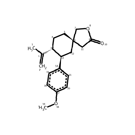 C=C(C)[C@@H]1CC[C@]2(COC(=O)C2)C[C@H]1c1ccc(OC)cc1